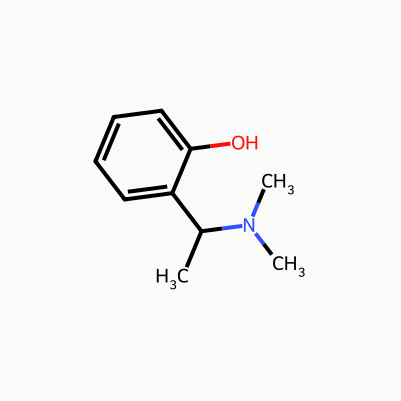 CC(c1ccccc1O)N(C)C